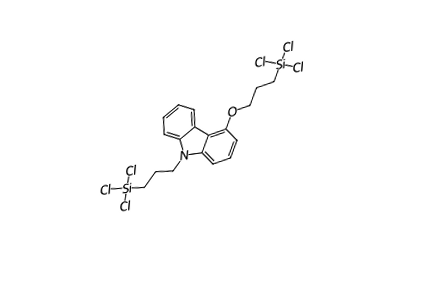 Cl[Si](Cl)(Cl)CCCOc1cccc2c1c1ccccc1n2CCC[Si](Cl)(Cl)Cl